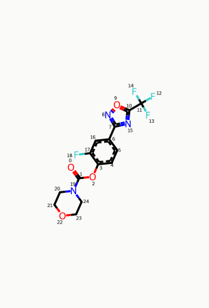 O=C(Oc1ccc(-c2noc(C(F)(F)F)n2)cc1F)N1CCOCC1